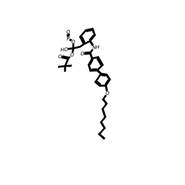 CCCCCCCCOc1ccc(-c2ccc(C(=O)Nc3ccccc3CC(O)(OP=O)OC(=O)C(C)(C)C)cc2)cc1